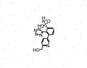 NS(=O)(=O)c1cccc(-c2ccc(CO)nc2)c1-c1nnn[nH]1